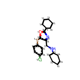 Clc1ccc(Sc2oc(C3CCCCC3)nc2CNC2CCCCC2)cc1